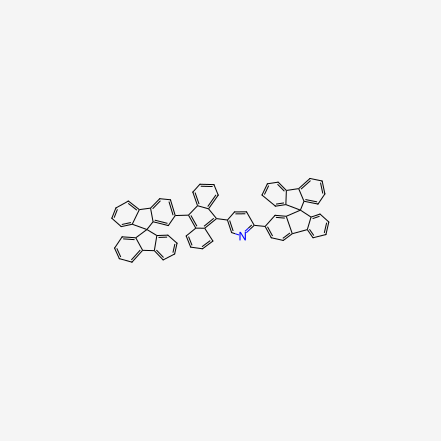 c1ccc2c(c1)-c1ccccc1C21c2ccccc2-c2ccc(-c3ccc(-c4c5ccccc5c(-c5ccc6c(c5)C5(c7ccccc7-c7ccccc75)c5ccccc5-6)c5ccccc45)cn3)cc21